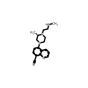 CNCCN1CCN(c2ccc(C#N)c3ncccc23)C[C@H]1C